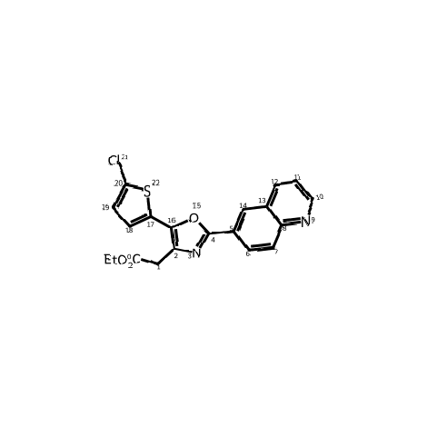 CCOC(=O)Cc1nc(-c2ccc3ncccc3c2)oc1-c1ccc(Cl)s1